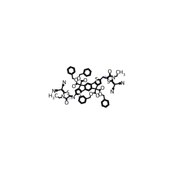 CCN1C(=O)/C(=N/c2cc3c(s2)-c2cc4c(cc2C3(C(=O)OCc2ccccc2)C(=O)OCc2ccccc2)-c2sc(/C=c3\sc(=C(C#N)C#N)n(CC)c3=O)cc2C4(C(=O)OCc2ccccc2)C(=O)OCc2ccccc2)SC1=C(C#N)C#N